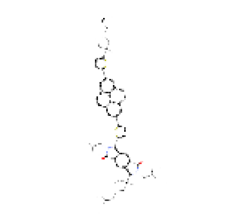 C=CCCCC(C)(CC)c1ccc(-c2cc3ccc4cc(-c5ccc(C6=c7cc8c(cc7C(=O)N6CC(C)C)=C(C(C)(CC)CCCC(C)C)N(CC(C)C)C8=O)s5)cc5ccc(c2)c3c45)s1